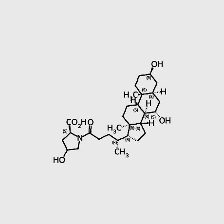 C[C@H](CCC(=O)N1CC(O)C[C@H]1C(=O)O)[C@H]1CC[C@H]2[C@@H]3[C@@H](O)C[C@@H]4C[C@H](O)CC[C@]4(C)[C@H]3CC[C@]12C